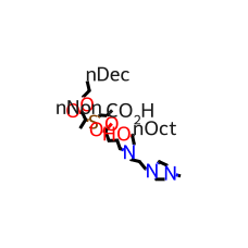 CCCCCCCCCCCCCOC(=O)C(C)SC(CCCCCCCCC)C(OC(=O)CCCN(CCCN1CCN(C)CC1)CC(O)CCCCCCCC)C(=O)O